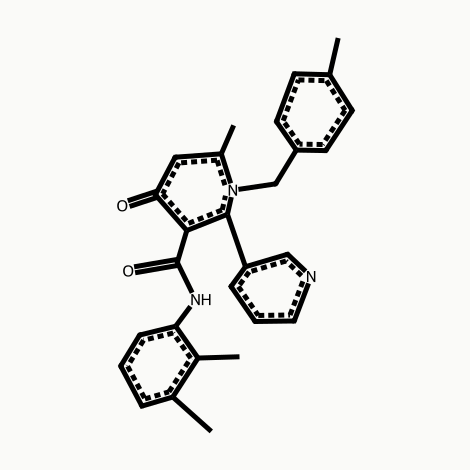 Cc1ccc(Cn2c(C)cc(=O)c(C(=O)Nc3cccc(C)c3C)c2-c2cccnc2)cc1